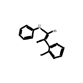 CCCC(Nc1ccccc1)=C(C)c1ccccc1C